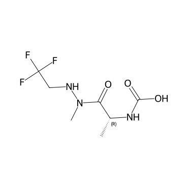 C[C@@H](NC(=O)O)C(=O)N(C)NCC(F)(F)F